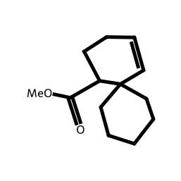 COC(=O)C1CCC=CC12CCCCC2